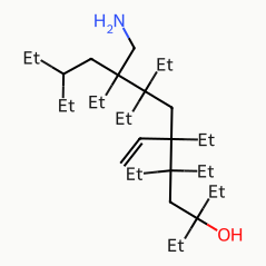 C=CC(CC)(CC(CC)(CC)C(CC)(CN)CC(CC)CC)C(CC)(CC)CC(O)(CC)CC